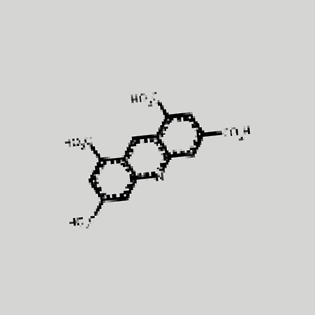 O=C(O)c1cc(C(=O)O)c2cc3c(C(=O)O)cc(C(=O)O)cc3nc2c1